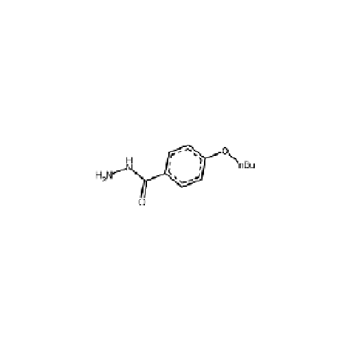 CCCCOc1ccc(C(=O)NN)cc1